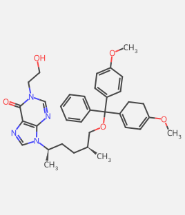 COC1=CC=C(C(OC[C@@H](C)CC[C@@H](C)n2cnc3c(=O)n(CCO)cnc32)(c2ccccc2)c2ccc(OC)cc2)CC1